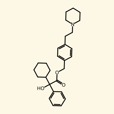 O=C(OCc1ccc(CCN2CCCCC2)cc1)C(O)(c1ccccc1)C1CCCCC1